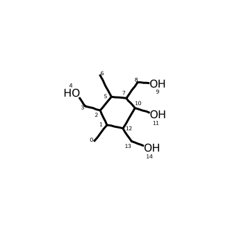 CC1C(CO)C(C)C(CO)C(O)C1CO